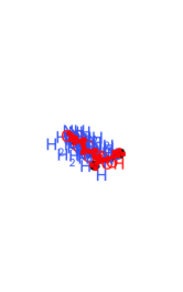 N=C(N)NC(NC(=O)C(NC(=N)N)NC(=O)C(NC(=N)N)NC(=O)C(NC(=N)N)NC(=O)C(NC(=O)C(O)NC(=O)c1cc2ccccc2cn1)c1ccccc1)C(=O)NC(N)C(N)=O